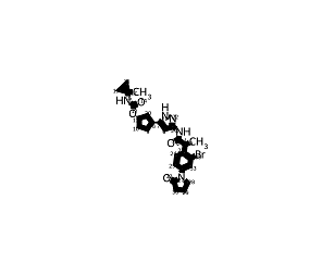 CC(C(=O)Nc1cc([C@H]2CC[C@H](OC(=O)NC3(C)CC3)C2)[nH]n1)c1ccc(N2CCCC2=O)cc1Br